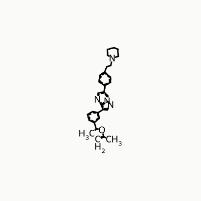 C=C(C)OC(C)c1cccc(-c2cnn3cc(-c4ccc(CCN5CCCCC5)cc4)cnc23)c1